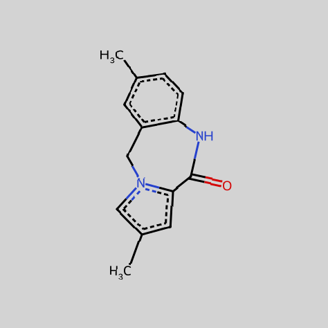 Cc1ccc2c(c1)Cn1cc(C)cc1C(=O)N2